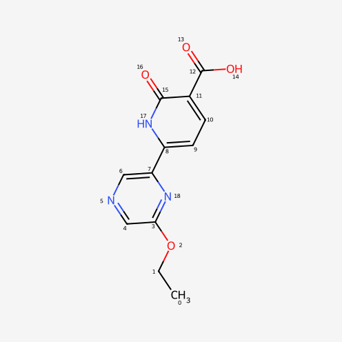 CCOc1cncc(-c2ccc(C(=O)O)c(=O)[nH]2)n1